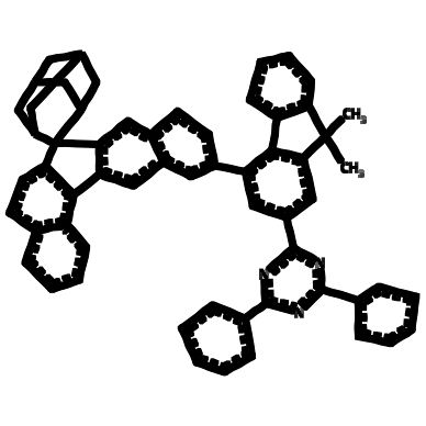 CC1(C)c2ccccc2-c2c(-c3ccc4cc5c(cc4c3)-c3c(ccc4ccccc34)C53C4CC5CC(C4)CC3C5)cc(-c3nc(-c4ccccc4)nc(-c4ccccc4)n3)cc21